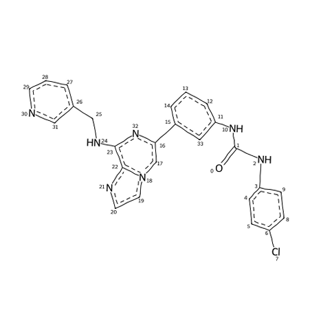 O=C(Nc1ccc(Cl)cc1)Nc1cccc(-c2cn3ccnc3c(NCc3cccnc3)n2)c1